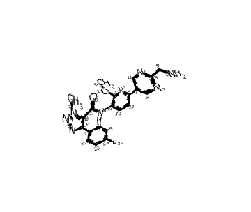 COc1nc(-c2cnc(CN)nc2)ccc1NC(=O)c1c(-c2ccc(F)cc2)nnn1C